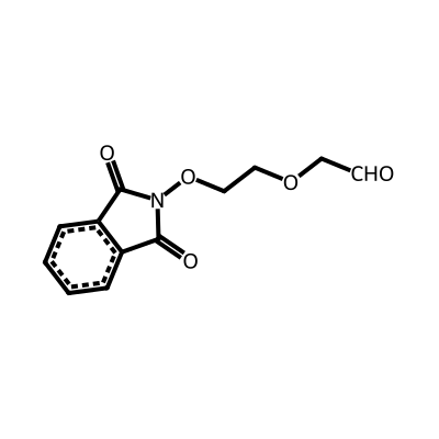 O=CCOCCON1C(=O)c2ccccc2C1=O